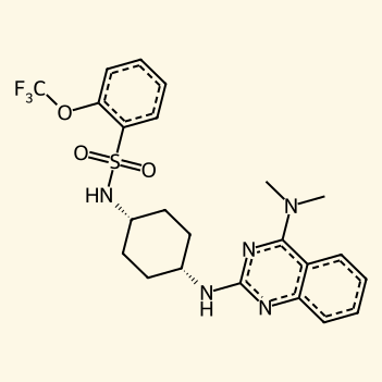 CN(C)c1nc(N[C@H]2CC[C@@H](NS(=O)(=O)c3ccccc3OC(F)(F)F)CC2)nc2ccccc12